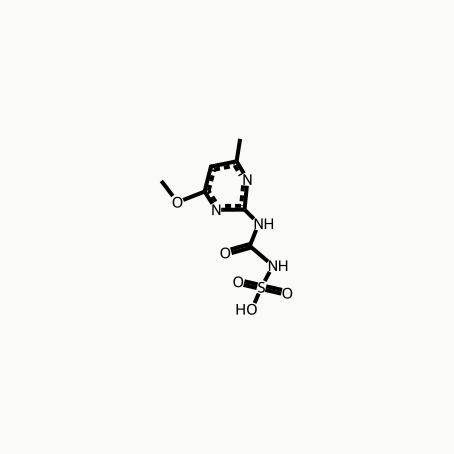 COc1cc(C)nc(NC(=O)NS(=O)(=O)O)n1